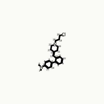 CN(C)c1ccc(-c2ccccc2C=C2CCN(CCCCl)CC2)cc1